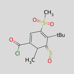 CC1C(C(=O)Cl)=CC(S(C)(=O)=O)=C(C(C)(C)C)C1=S=O